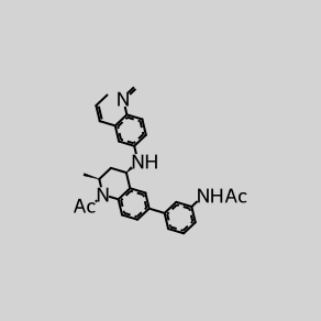 C=Nc1ccc(N[C@@H]2C[C@H](C)N(C(C)=O)c3ccc(-c4cccc(NC(C)=O)c4)cc32)cc1/C=C\C